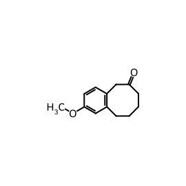 COc1ccc2c(c1)CCCCC(=O)C2